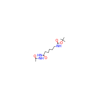 CC(=O)NNC(=O)CCCCCNC(=O)OC(C)(C)C